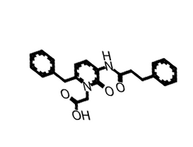 O=C(O)Cn1c(Cc2ccccc2)ccc(NC(=O)CCc2ccccc2)c1=O